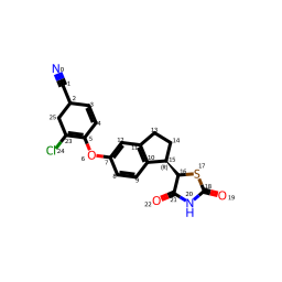 N#CC1C=CC(Oc2ccc3c(c2)CC[C@H]3C2SC(=O)NC2=O)=C(Cl)C1